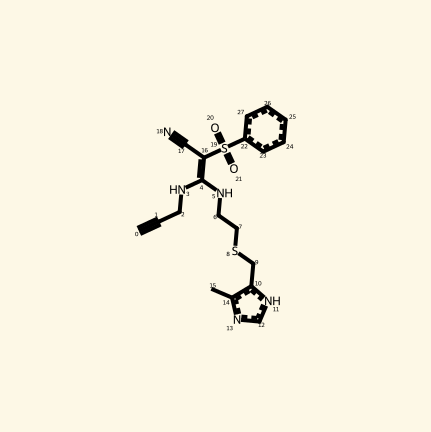 C#CCNC(NCCSCc1[nH]cnc1C)=C(C#N)S(=O)(=O)c1ccccc1